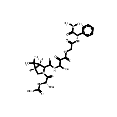 CCCCC(NC(=O)C1[C@@H]2[C@H](CN1C(=O)[C@@H](NC(=O)OCC(C)C)C(C)(C)C)C2(C)C)C(=O)C(=O)NCC(=O)N[C@H](C(=O)N(C)C)c1ccccc1